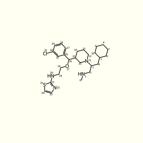 CNCC(CC1CCCCC1)N1CCCC(C(OCCNc2nccs2)c2cccc(Cl)c2)C1